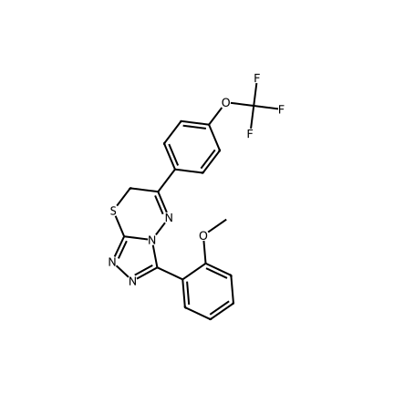 COc1ccccc1-c1nnc2n1N=C(c1ccc(OC(F)(F)F)cc1)CS2